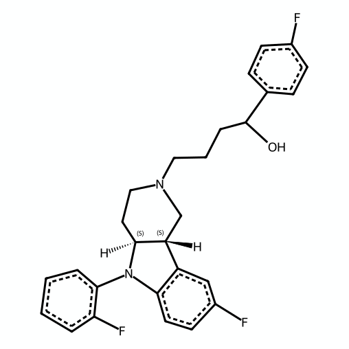 OC(CCCN1CC[C@H]2[C@H](C1)c1cc(F)ccc1N2c1ccccc1F)c1ccc(F)cc1